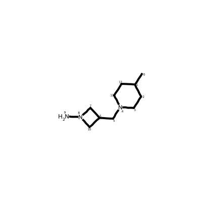 CC1CCN(CC2CN(N)C2)CC1